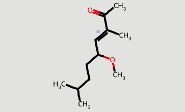 COC(/C=C(\C)C(C)=O)CCC(C)C